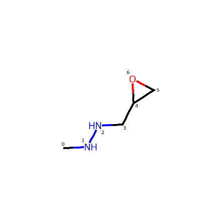 CNNCC1CO1